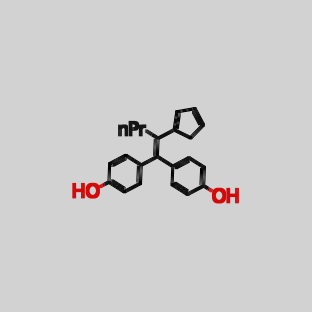 CCCC(C1=CC=CC1)=C(c1ccc(O)cc1)c1ccc(O)cc1